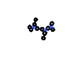 c1ccc(-c2ccc3c(c2)c2cc(-c4ccc5c(c4)c4cc(-c6ccccc6)ccc4n5-c4cccc5ccccc45)ccc2n3-c2ccc3c(c2)c2ccccc2n3-c2ccccc2)cc1